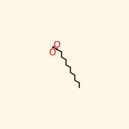 CCCCCCCCCCC12OC1O2